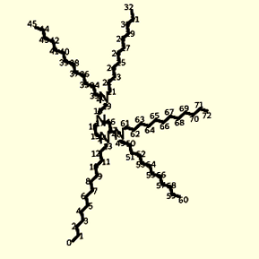 CCCCCCCCCCCCCCN1CCN(CCN(CCCCCCCCCCCC)CCCCCCCCCCCCC)CC1N(CCCCCCCCCCCC)CCCCCCCCCCCC